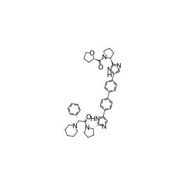 O=C([C@H]1CCCO1)N1CCC[C@H]1c1ncc(-c2ccc(-c3ccc(-c4cnc([C@@H]5CCCN5C(=O)[C@@H](c5ccccc5)N5CCCCC5)[nH]4)cc3)cc2)[nH]1